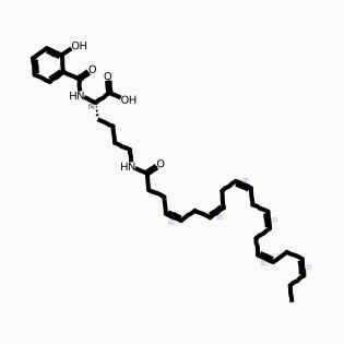 CC/C=C\C/C=C\C/C=C\C/C=C\C/C=C\C/C=C\CCC(=O)NCCCC[C@H](NC(=O)c1ccccc1O)C(=O)O